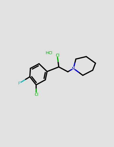 Cl.Fc1ccc(C(Cl)CN2CCCCC2)cc1Cl